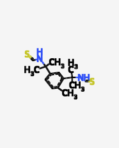 Cc1ccc(C(C)(C)NC=S)cc1C(C)(C)NC=S